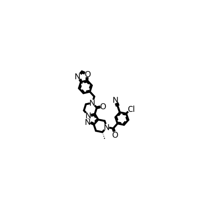 C[C@@H]1Cc2nn3c(c2CN1C(=O)c1ccc(Cl)c(C#N)c1)C(=O)N(Cc1ccc2ncoc2c1)CC3